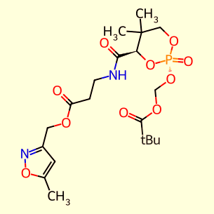 Cc1cc(COC(=O)CCNC(=O)[C@@H]2O[P@@](=O)(OCOC(=O)C(C)(C)C)OCC2(C)C)no1